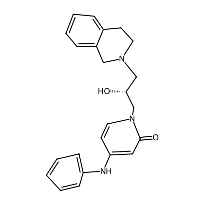 O=c1cc(Nc2ccccc2)ccn1C[C@H](O)CN1CCc2ccccc2C1